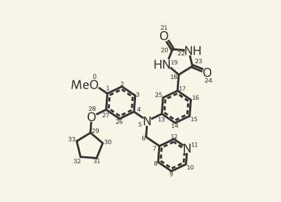 COc1ccc(N(Cc2cccnc2)c2cccc(C3NC(=O)NC3=O)c2)cc1OC1CCCC1